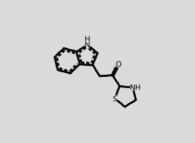 O=C(Cc1c[nH]c2ccccc12)C1NCCS1